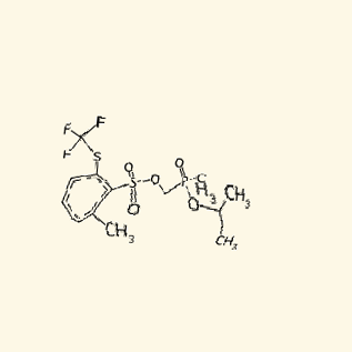 Cc1cccc(SC(F)(F)F)c1S(=O)(=O)OCP(C)(=O)OC(C)C